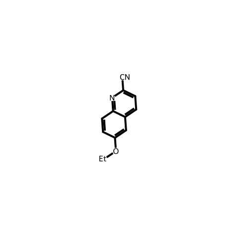 CCOc1ccc2nc(C#N)ccc2c1